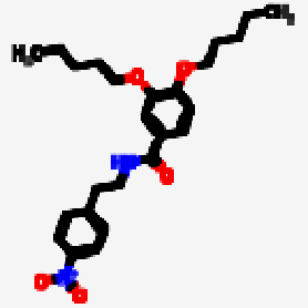 CCCCCOc1ccc(C(=O)NCCc2ccc([N+](=O)[O-])cc2)cc1OCCCCC